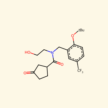 CC(C)(C)Oc1ccc(C(F)(F)F)cc1CN(CCO)C(=O)C1CCC(=O)C1